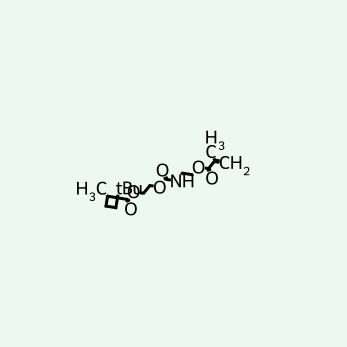 C=C(C)C(=O)OCCNC(=O)OCCOC(=O)C1(C(C)(C)C)CCC1C